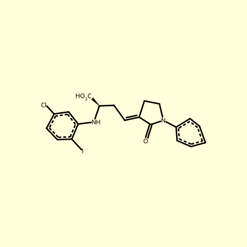 O=C(O)[C@@H](C/C=C1\CCN(c2ccccc2)C1=O)Nc1cc(Cl)ccc1I